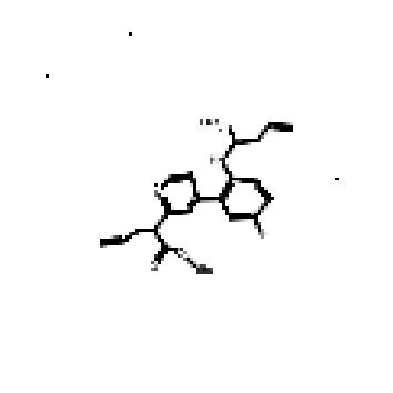 C=CCC(Nc1ccc(F)cc1-c1ccnc(C(CC=C)C(=O)OC(C)(C)C)c1)C(=O)OCC